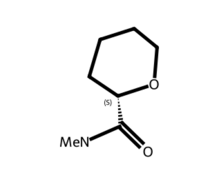 CNC(=O)[C@@H]1CCCCO1